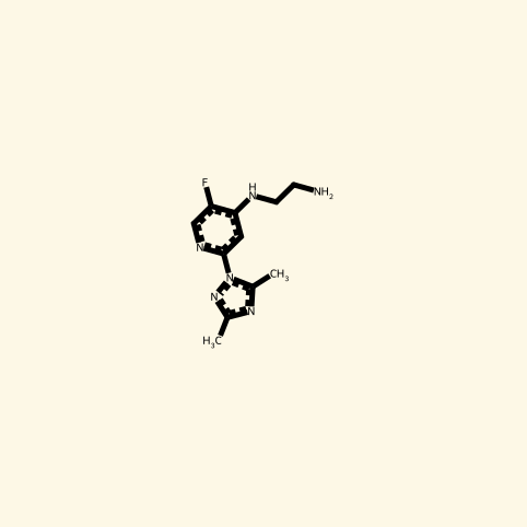 Cc1nc(C)n(-c2cc(NCCN)c(F)cn2)n1